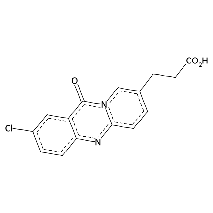 O=C(O)CCc1ccc2nc3ccc(Cl)cc3c(=O)n2c1